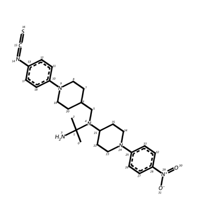 CC(C)(N)N(CC1CCN(c2ccc(N=C=S)cc2)CC1)C1CCN(c2ccc([N+](=O)[O-])cc2)CC1